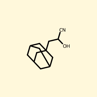 N#CC(O)CC12CC3CC(CC(C3)C1)C2